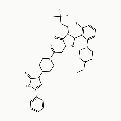 CCN1CCN(c2cccc(F)c2C2SC(CC(=O)N3CCC(n4cc(-c5ccccc5)[nH]c4=O)CC3)C(=O)N2CCC(C)(C)C)CC1